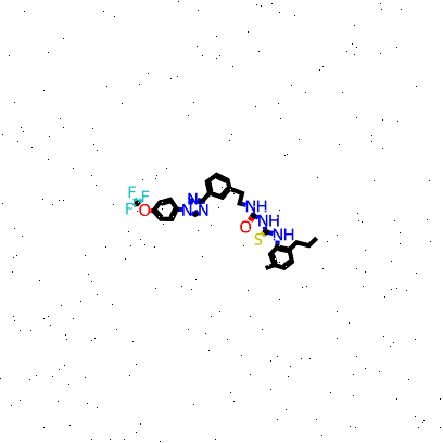 CCCc1ccc(C)cc1NC(=S)NC(=O)NCCc1cccc(-c2ncn(-c3ccc(OC(F)(F)F)cc3)n2)c1